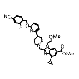 COCCn1c(CN2CCC(c3cccc(OCc4ccc(C#N)cc4F)n3)CC2)nc2c(C3CC3)cc(C(=O)OC)cc21